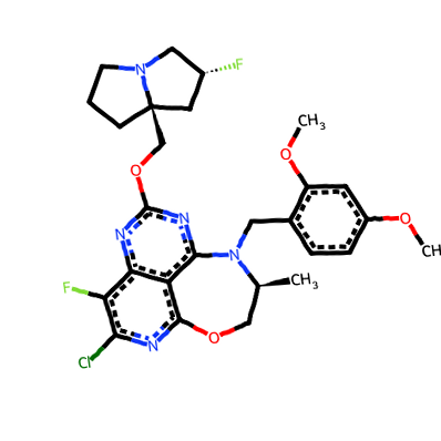 COc1ccc(CN2c3nc(OC[C@@]45CCCN4C[C@H](F)C5)nc4c(F)c(Cl)nc(c34)OC[C@@H]2C)c(OC)c1